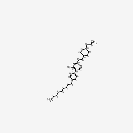 CCCCCCCCCc1ccc(-c2cnc(CCC3CCC(CCC)CC3)nc2F)cc1